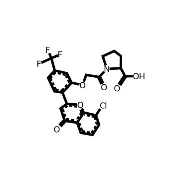 O=C(O)C1CCCN1C(=O)COc1cc(C(F)(F)F)ccc1-c1cc(=O)c2cccc(Cl)c2o1